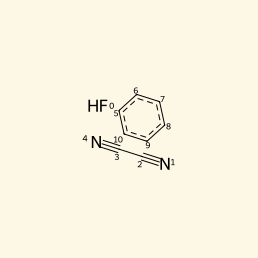 F.N#CC#N.c1ccccc1